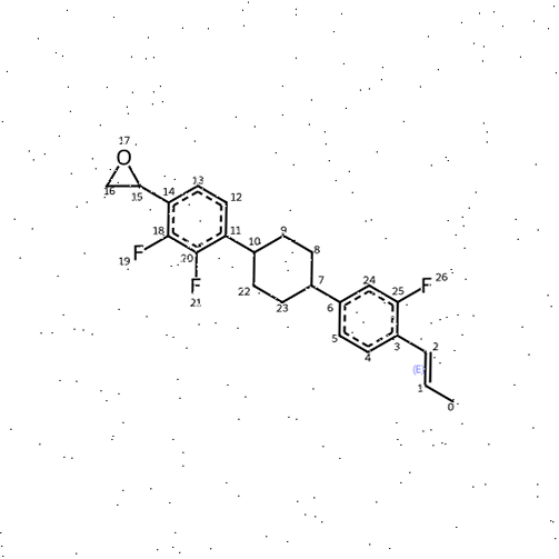 C/C=C/c1ccc(C2CCC(c3ccc(C4CO4)c(F)c3F)CC2)cc1F